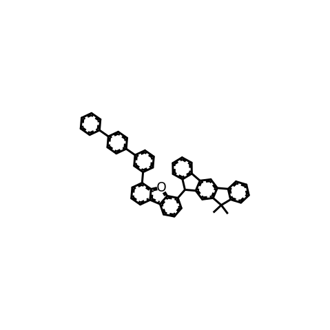 CC1(C)c2ccccc2-c2cc3c(cc21)C(c1cccc2c1oc1c(-c4cccc(-c5ccc(-c6ccccc6)cc5)c4)cccc12)c1ccccc1-3